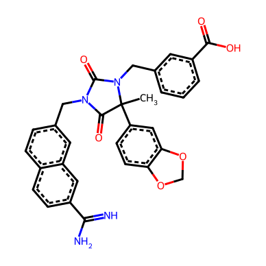 CC1(c2ccc3c(c2)OCO3)C(=O)N(Cc2ccc3ccc(C(=N)N)cc3c2)C(=O)N1Cc1cccc(C(=O)O)c1